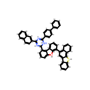 c1ccc(-c2ccc(C3=NC(c4ccc5ccccc5c4)=NC(c4cccc5oc6c(-c7cc8c9ccccc9sc8c8ccccc78)cccc6c45)N3)cc2)cc1